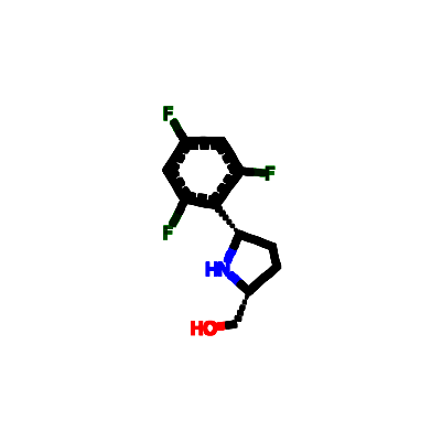 OC[C@H]1CC[C@@H](c2c(F)cc(F)cc2F)N1